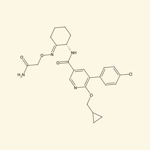 NC(=O)CON=C1CCCC[C@@H]1NC(=O)c1cnc(OCC2CC2)c(-c2ccc(Cl)cc2)c1